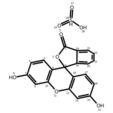 O=C1OC2(c3ccc(O)cc3Oc3cc(O)ccc32)c2ccccc21.O=[SH](=O)O